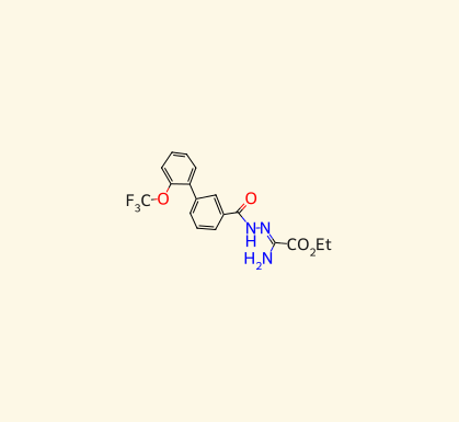 CCOC(=O)/C(N)=N/NC(=O)c1cccc(-c2ccccc2OC(F)(F)F)c1